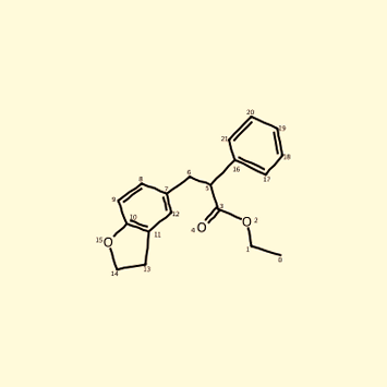 CCOC(=O)C(Cc1ccc2c(c1)CCO2)c1ccccc1